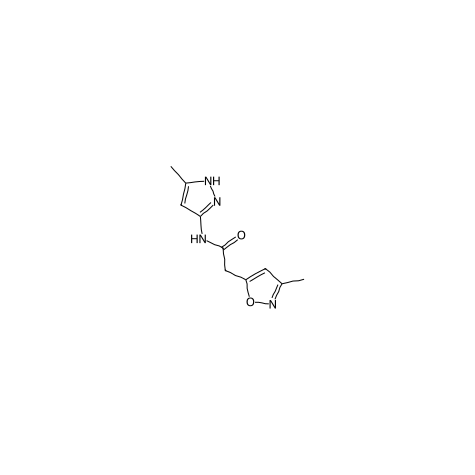 Cc1cc(CC(=O)Nc2cc(C)[nH]n2)on1